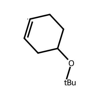 CC(C)(C)OC1CC=[C]CC1